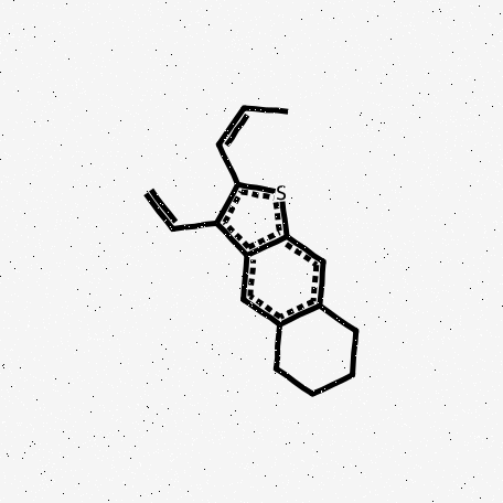 C=Cc1c(/C=C\C)sc2cc3c(cc12)CCCC3